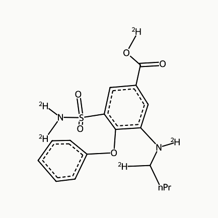 [2H]OC(=O)c1cc(N([2H])C([2H])CCC)c(Oc2ccccc2)c(S(=O)(=O)N([2H])[2H])c1